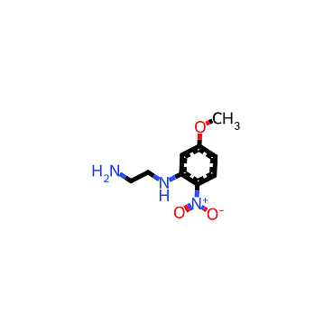 COc1ccc([N+](=O)[O-])c(NCCN)c1